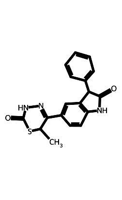 CC1SC(=O)NN=C1c1ccc2c(c1)C(c1ccccc1)C(=O)N2